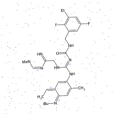 C/C=C1/C=C(N/C(=N/C(=O)NCc2cc(F)cc(CC)c2F)NCC(=N)/N=C\NC)C(C)=C/C1=N/C(C)CC